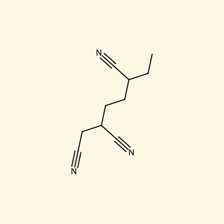 CCC(C#N)CCC(C#N)CC#N